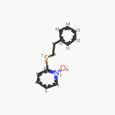 [O-][n+]1ccccc1SCCc1ccccc1